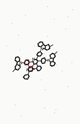 Cc1ccc2c(c1)c1ccccc1n2-c1ccc(-c2nc(-c3ccc(-n4c5ccccc5c5cc(C)ccc54)cc3)c(-c3ccccc3C)c(-c3ccccc3-c3cc(-c4ccccc4)nc(-c4ccccc4)n3)c2-c2ccc(-n3c4ccccc4c4cc(C)ccc43)cc2)cc1